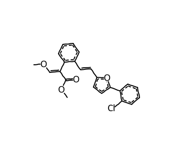 CO/C=C(/C(=O)OC)c1ccccc1/C=C/c1ccc(-c2ccccc2Cl)o1